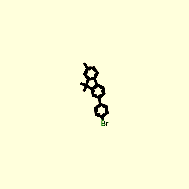 Cc1ccc2c(c1)C(C)(C)c1cc(-c3ccc(Br)cc3)ccc1-2